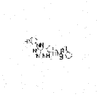 Nc1ncnc2c1c(-c1ccc(CNS(=O)(=O)c3ccccc3Cl)cc1)nn2C1CCCNC1